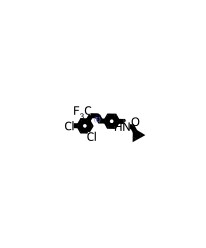 O=C(NCc1ccc(/C=C/C(c2cc(Cl)cc(Cl)c2)C(F)(F)F)cc1)C1CC1